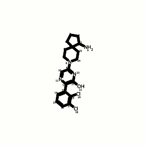 NC1CCCC12CCN(c1cnc(-c3cccc(Cl)c3Cl)c(O)n1)CC2